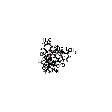 Cc1ccc(S(=O)(=O)O[C@H]2[C@H]3O[C@@H]4O[C@@H]2[C@@H](OC(=O)C25CCC(C)(C(=O)O2)C5(C)C)[C@H](O4)[C@H]3OS(=O)(=O)c2ccc(C)cc2)cc1